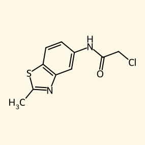 Cc1nc2cc(NC(=O)CCl)ccc2s1